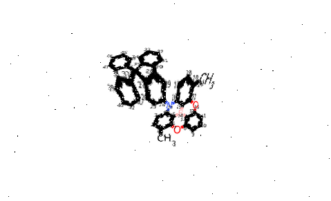 Cc1ccc2c3c1Oc1cccc4c1B3c1c(ccc(C)c1O4)N2c1ccc2c(c1)-c1ccccc1C2(c1ccccc1)c1ccccc1